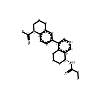 CCC(=O)N[C@@H]1CCCc2c(-c3ccc4c(c3)CCCN4C(C)=O)cncc21